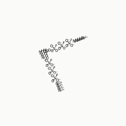 O.O.O.O.O.O.[Ni+2].[Ni+2].[Ni+2].[Ni+2].[Ni+2].[Ni+2].[Ni+2].[Ni+2].[Ni+2].[O-][Si]([O-])([O-])F.[O-][Si]([O-])([O-])F.[O-][Si]([O-])([O-])F.[O-][Si]([O-])([O-])F.[O-][Si]([O-])([O-])F.[O-][Si]([O-])([O-])F